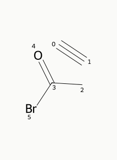 C#C.CC(=O)Br